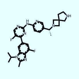 Cc1nc2c(F)cc(-c3nc(Nc4ccc([C@@H](C)N5CC6(CCNC6)C5)cn4)ncc3F)cc2n1C(C)C